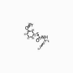 CC#CC(C)NC(=O)Sc1cccc(OC(C)C)c1